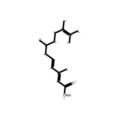 COC(=O)/C=C(C)/C=C/CC(C)CCC(C)=C(C)C